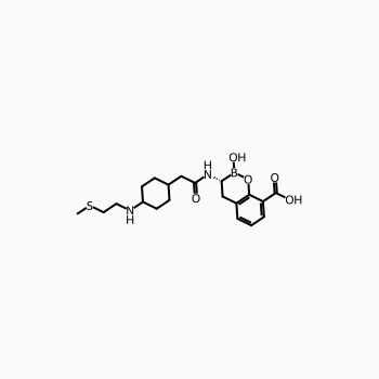 CSCCNC1CCC(CC(=O)N[C@H]2Cc3cccc(C(=O)O)c3OB2O)CC1